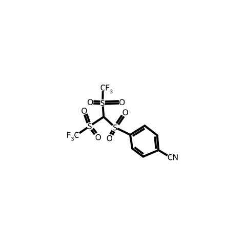 N#Cc1ccc(S(=O)(=O)C(S(=O)(=O)C(F)(F)F)S(=O)(=O)C(F)(F)F)cc1